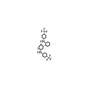 FC(F)(F)c1ccc(Nc2cc(-c3ccccc3Nc3ccc(C(F)(F)F)cc3)ncn2)cc1